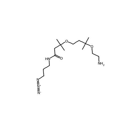 CC(C)(CCOC(C)(C)CC(=O)NCCCN=[N+]=[N-])OCCN